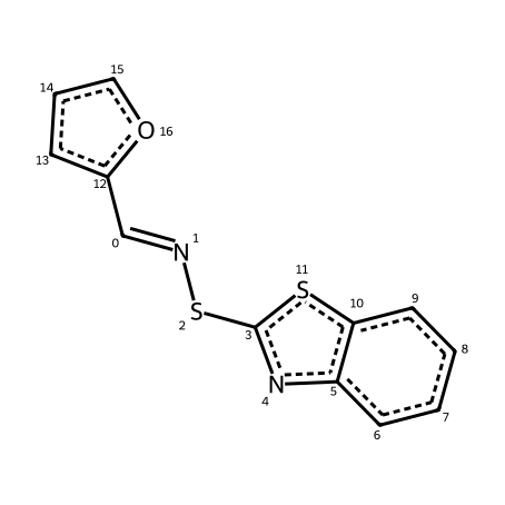 C(=NSc1nc2ccccc2s1)c1ccco1